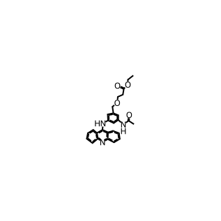 CCOC(=O)CCOCc1cc(NC(C)=O)cc(Nc2c3ccccc3nc3ccccc23)c1